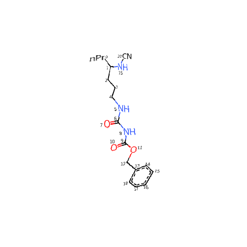 CCCC(CCCNC(=O)NC(=O)OCc1ccccc1)NC#N